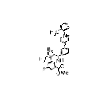 COC(=O)c1cc(F)cc2c1NC(c1cccc(N3CCN(c4ccccc4C)CC3)c1)CC2(C)C